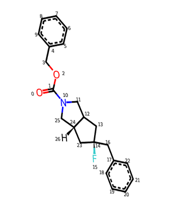 O=C(OCc1ccccc1)N1CC2C[C@](F)(Cc3ccccc3)C[C@@H]2C1